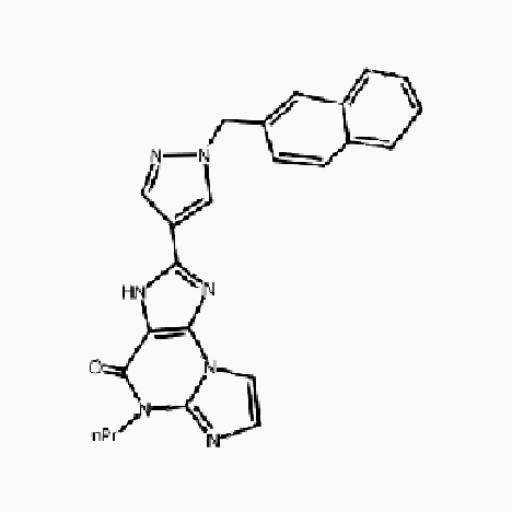 CCCn1c(=O)c2[nH]c(-c3cnn(Cc4ccc5ccccc5c4)c3)nc2n2ccnc12